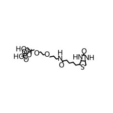 O=C(CCCCC1SCC2NC(=O)NC21)NCCCOCCOCC(CO)OP(=O)(O)O